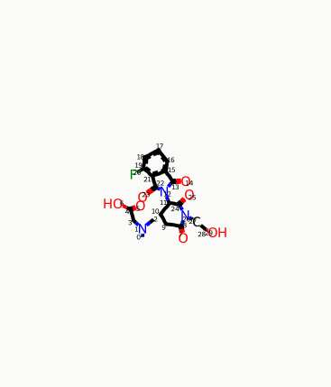 CN(C)CC(=O)O.O=C1CCC(N2C(=O)c3cccc(F)c3C2=O)C(=O)N1CCO